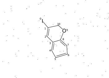 IC1=Cc2ccccc2OC1